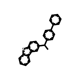 CC(c1ccc(-c2ccccc2)cc1)c1ccc2sc3ccccc3c2c1